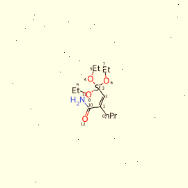 CCCC(=C[Si](OCC)(OCC)OCC)C(N)=O